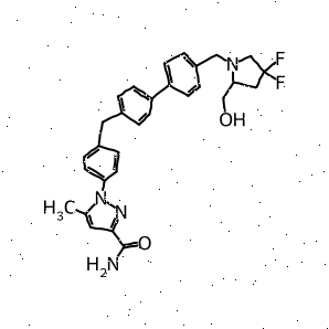 Cc1cc(C(N)=O)nn1-c1ccc(Cc2ccc(-c3ccc(CN4CC(F)(F)CC4CO)cc3)cc2)cc1